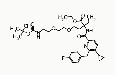 CCOC(=O)C(CC)(CCOCCOCCNC(=O)OC(C)(C)C)NC(=O)c1ccc(C2CC2)c(Cc2ccc(F)cc2)n1